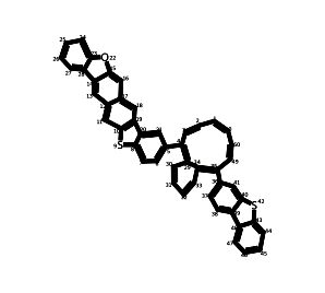 c1cccc(-c2ccc3sc4cc5cc6c(cc5cc4c3c2)oc2ccccc26)c2ccccc2c(-c2ccc3c(c2)sc2ccccc23)cc1